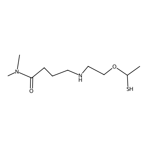 CC(S)OCCNCCCC(=O)N(C)C